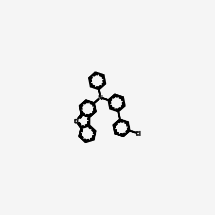 Clc1cccc(-c2cccc(N(c3ccccc3)c3ccc4oc5ccccc5c4c3)c2)c1